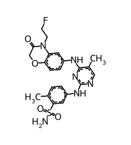 Cc1ccc(Nc2ncc(C)c(Nc3ccc4c(c3)N(CCF)C(=O)CO4)n2)cc1S(N)(=O)=O